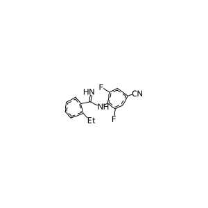 CCc1ccccc1C(=N)Nc1c(F)cc(C#N)cc1F